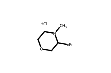 CCCC1COCCN1C.Cl